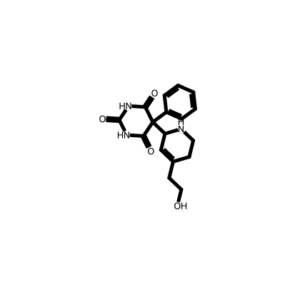 O=C1NC(=O)C(c2ccccc2)(C2C=C(CCO)CCN2)C(=O)N1